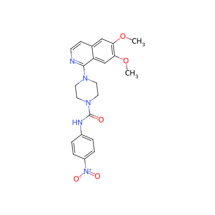 COc1cc2ccnc(N3CCN(C(=O)Nc4ccc([N+](=O)[O-])cc4)CC3)c2cc1OC